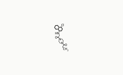 C=CC(=O)N1CCN(C(=O)CNc2ccc(Cl)c3ccccc23)CC1